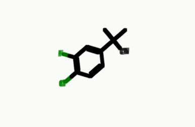 CC(C)(C#N)c1ccc(Cl)c(F)c1